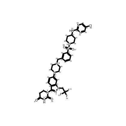 O=C1CCN(c2nn(CC(F)(F)F)c3cc(N4CCN(Cc5cccc(S(=O)(=O)N6CCC(Nc7ncc(Cl)cn7)CC6)c5)CC4)ccc23)C(=O)N1